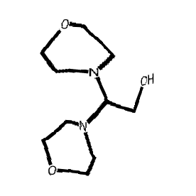 OCC(N1CCOCC1)N1CCOCC1